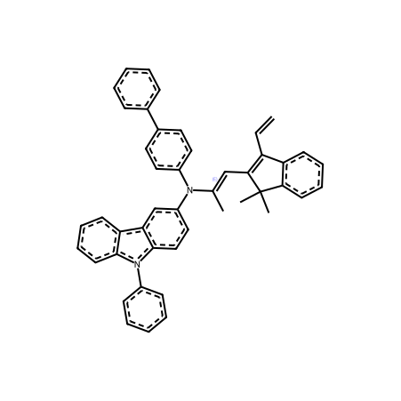 C=CC1=C(/C=C(\C)N(c2ccc(-c3ccccc3)cc2)c2ccc3c(c2)c2ccccc2n3-c2ccccc2)C(C)(C)c2ccccc21